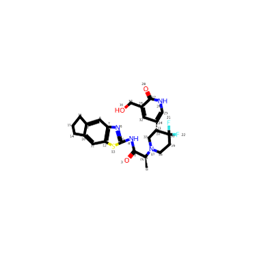 C[C@@H](C(=O)Nc1nc2cc3c(cc2s1)CCC3)N1CCC(F)(F)[C@@H](c2c[nH]c(=O)c(CO)c2)C1